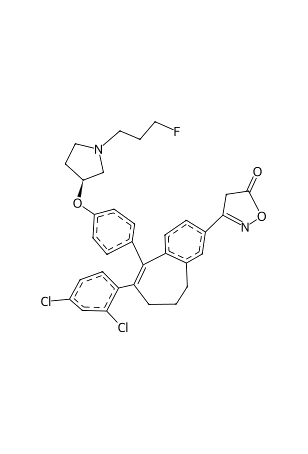 O=C1CC(c2ccc3c(c2)CCCC(c2ccc(Cl)cc2Cl)=C3c2ccc(O[C@H]3CCN(CCCF)C3)cc2)=NO1